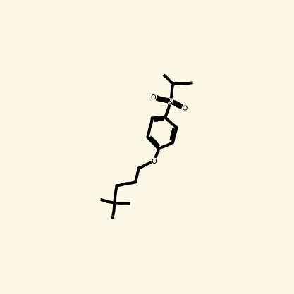 CC(C)S(=O)(=O)c1ccc(OCCCC(C)(C)C)cc1